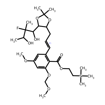 COCOc1cc(OC)cc(/C=C/CC2OC(C)(C)OC2C(O)C(C)(F)C(C)O)c1C(=O)OCC[Si](C)(C)C